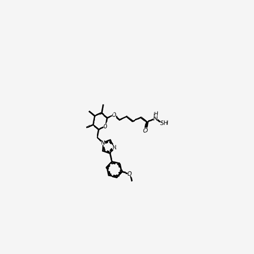 COc1cccc(-c2cn(CC3OC(OCCCCC(=O)NS)C(C)C(C)C3C)cn2)c1